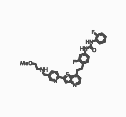 COCCNCc1ccc(-c2cc3nccc(CCc4ccc(NC(=O)Nc5ccccc5F)cc4F)c3s2)nc1